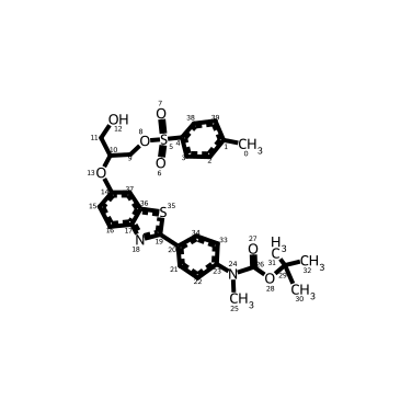 Cc1ccc(S(=O)(=O)OCC(CO)Oc2ccc3nc(-c4ccc(N(C)C(=O)OC(C)(C)C)cc4)sc3c2)cc1